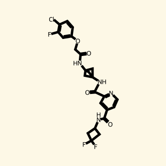 O=C(COc1ccc(Cl)c(F)c1)NC12CC(NC(=O)c3cc(C(=O)NC4CC(F)(F)C4)ccn3)(C1)C2